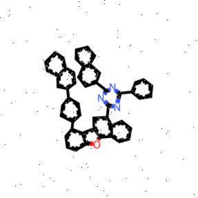 c1ccc(-c2nc(-c3ccc4ccccc4c3)nc(-c3cc4c(oc5cccc(-c6ccc(-c7ccc8ccccc8c7)cc6)c54)c4ccccc34)n2)cc1